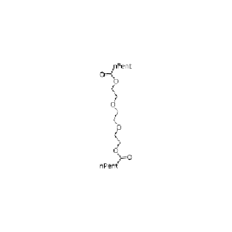 CCCCCC(=O)OCCOCCOCCOC(=O)CCCCC